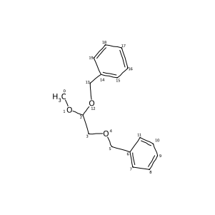 CO[C](COCc1ccccc1)OCc1ccccc1